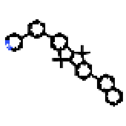 CC1(C)C2=C(c3ccc(-c4cccc(-c5ccncc5)c4)cc31)C(C)(C)c1cc(-c3ccc4ccccc4c3)ccc12